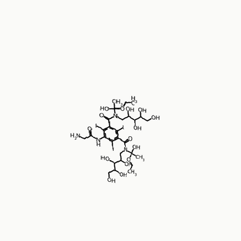 CCOC(C)(O)N(CC(O)C(O)C(O)CO)C(=O)c1c(I)c(NC(=O)CN)c(I)c(C(=O)N(CC(O)C(O)C(O)CO)C(C)(O)OCC)c1I